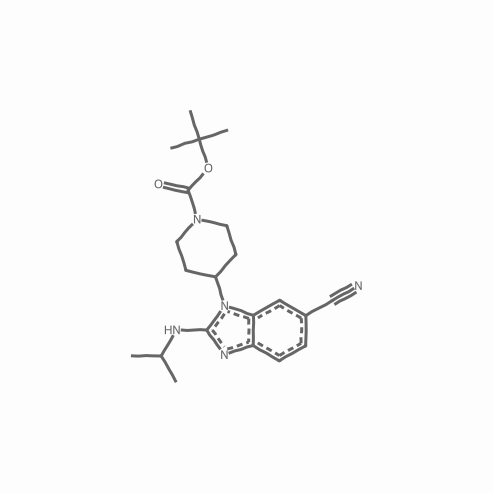 CC(C)Nc1nc2ccc(C#N)cc2n1C1CCN(C(=O)OC(C)(C)C)CC1